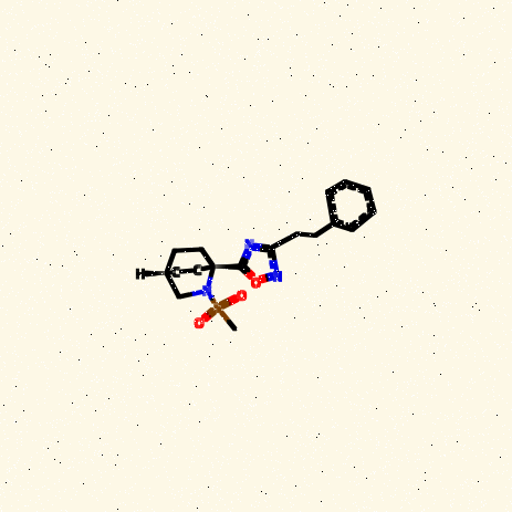 CS(=O)(=O)N1C[C@H]2CC[C@]1(c1nc(CCc3ccccc3)no1)CC2